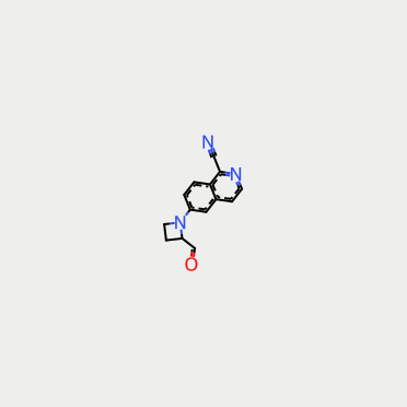 N#Cc1nccc2cc(N3CCC3C=O)ccc12